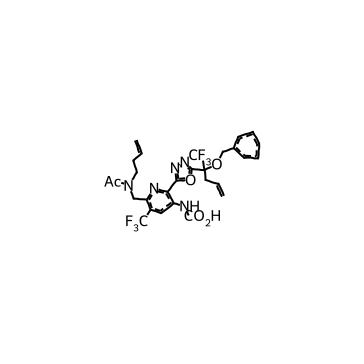 C=CCCN(Cc1nc(-c2nnc(C(CC=C)(OCc3ccccc3)C(F)(F)F)o2)c(NC(=O)O)cc1C(F)(F)F)C(C)=O